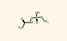 NC(=O)NOP(=O)(O)OP